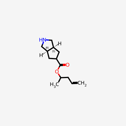 C=CCC(C)OC(=O)C1C[C@H]2CNC[C@H]2C1